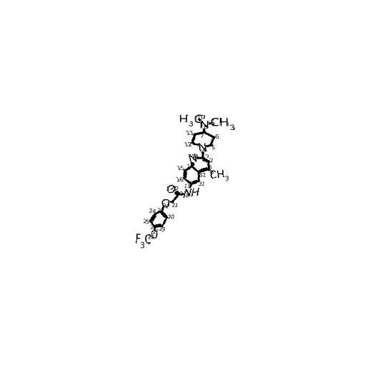 Cc1cc(N2CCC(N(C)C)CC2)nc2ccc(NC(=O)COc3ccc(OC(F)(F)F)cc3)cc12